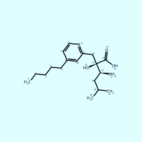 CCCCCc1ccnc(C[C@](O)(C(=O)O)[C@@H](N)CC(C)C)c1